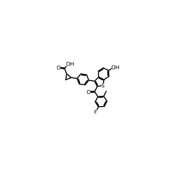 Cc1ccc(F)cc1C(=O)c1sc2cc(O)ccc2c1-c1ccc(C2CC2C(=O)O)cc1